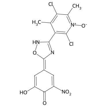 Cc1c(Cl)c(C)[n+]([O-])c(Cl)c1C1=NC(=C2C=C(O)C(=O)C([N+](=O)[O-])=C2)ON1